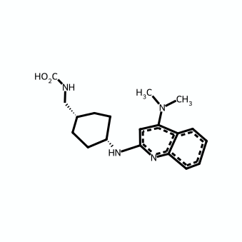 CN(C)c1cc(N[C@H]2CC[C@@H](CNC(=O)O)CC2)nc2ccccc12